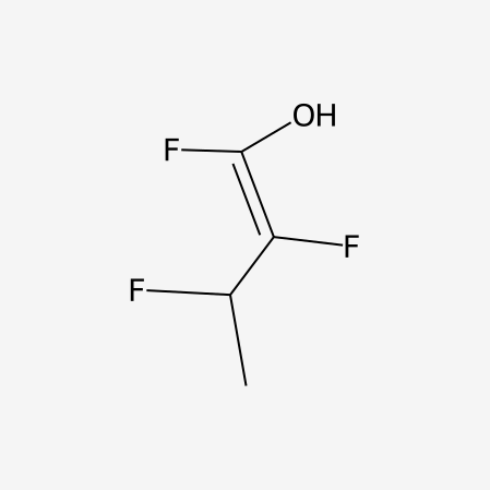 CC(F)C(F)=C(O)F